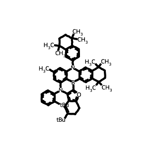 Cc1cc2c3c(c1)N(c1ccccc1C(C)(C)C)c1c(oc4c1C=C(C(C)(C)C)CC4)B3c1cc3c(cc1N2c1ccc2c(c1)C(C)(C)CCC2(C)C)C(C)(C)CCC3(C)C